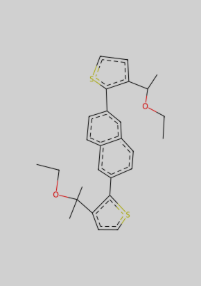 CCOC(C)c1ccsc1-c1ccc2cc(-c3sccc3C(C)(C)OCC)ccc2c1